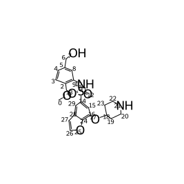 COc1ccc(CO)cc1NS(=O)(=O)c1cc(OC2CCNCC2)c2occc2c1